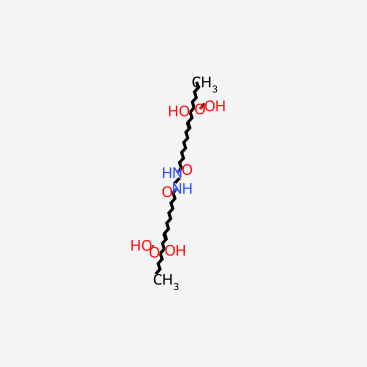 CCCCCC(OCO)C(O)CC=CCCCCCCCC(=O)NCCNC(=O)CCCCCCCC=CCC(O)C(CCCCC)OCO